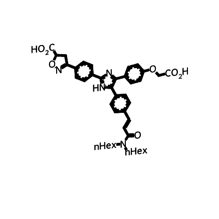 CCCCCCN(CCCCCC)C(=O)/C=C/c1ccc(-c2[nH]c(-c3ccc(C4=NOC(C(=O)O)C4)cc3)nc2-c2ccc(OCC(=O)O)cc2)cc1